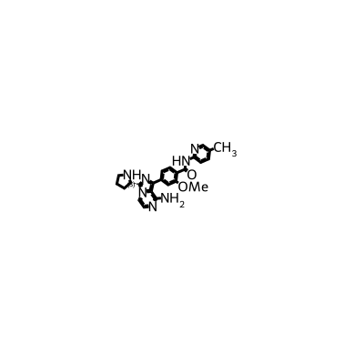 COc1cc(-c2nc([C@@H]3CCCN3)n3ccnc(N)c23)ccc1C(=O)Nc1ccc(C)cn1